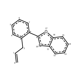 C=CCc1ccccc1-c1nc2ccccc2o1